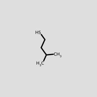 C[C](C)CCS